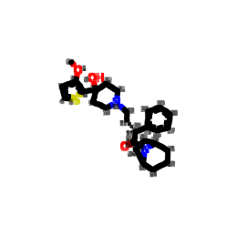 COc1ccsc1C1(O)CCN(CC[C@@H](C(=O)N2C3CCCC2CC3)c2ccccc2)CC1